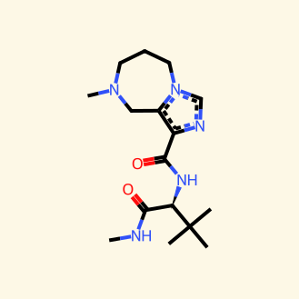 CNC(=O)[C@@H](NC(=O)c1ncn2c1CN(C)CCC2)C(C)(C)C